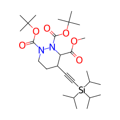 COC(=O)C1C(C#C[Si](C(C)C)(C(C)C)C(C)C)CCN(C(=O)OC(C)(C)C)N1C(=O)OC(C)(C)C